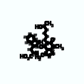 C[C@@H](O)CCCCn1c(=O)c2c(ncn2C)n(C)c1=O.N[C@@H](Cc1c[nH]c2ccccc12)C(=O)O